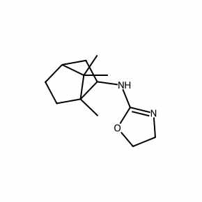 CC1(C)C2CCC1(C)C(NC1=NCCO1)C2